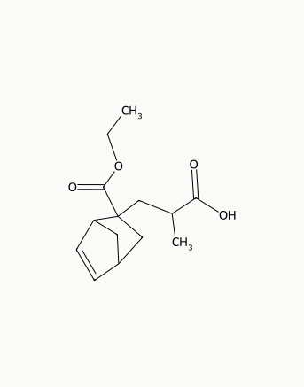 CCOC(=O)C1(CC(C)C(=O)O)CC2C=CC1C2